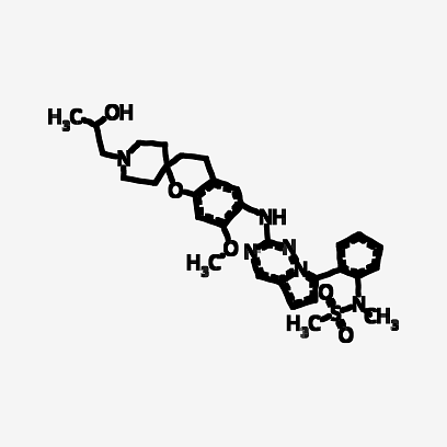 COc1cc2c(cc1Nc1ncc3ccc(-c4ccccc4N(C)S(C)(=O)=O)n3n1)CCC1(CCN(CC(C)O)CC1)O2